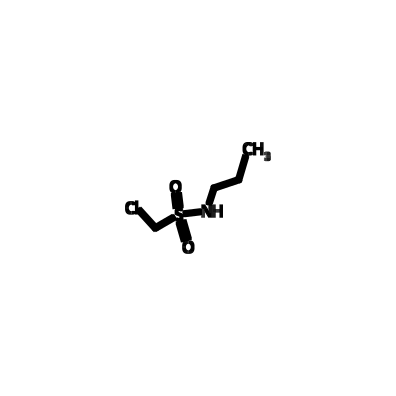 CCCNS(=O)(=O)CCl